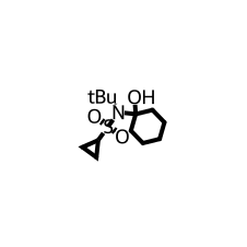 CC(C)(C)N(C1(O)CCCCC1)S(=O)(=O)C1CC1